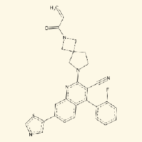 C=CC(=O)N1CC2(CCN(c3nc4cc(-c5cncs5)ccc4c(-c4ccccc4F)c3C#N)C2)C1